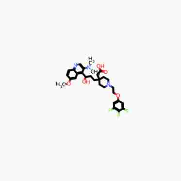 COc1ccc2ncc(N(C)C)c(C(O)CCC3(CC(=O)O)CCN(CCOc4cc(F)c(F)c(F)c4)CC3)c2c1